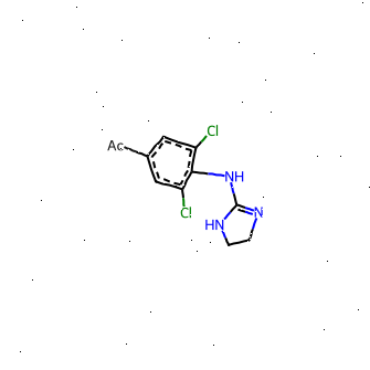 CC(=O)c1cc(Cl)c(NC2=NCCN2)c(Cl)c1